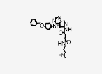 CN(C)CCCNC(=O)C=CC(=O)Nc1cc2c(Nc3ccc(OCc4ccccc4)cc3)ncnc2cn1